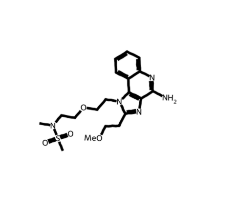 COCCc1nc2c(N)nc3ccccc3c2n1CCOCCN(C)S(C)(=O)=O